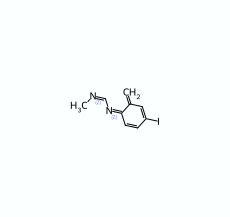 C=C1C=C(I)C=C/C1=N/C=N\C